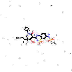 CC(C)(C)CCC1(C)CN(C2CCC2)C(=O)C(C2=NS(=O)(=O)c3cc(NS(C)(=O)=O)ccc3N2)=C1O